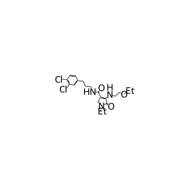 CCOCCNC1=C(C(=O)NCCCc2ccc(Cl)c(Cl)c2)CN(CC)C1=O